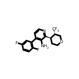 Nc1c(-c2cc(F)ccc2F)ccnc1[C@@H]1CCOC[C@H]1C(F)(F)F